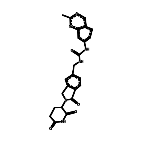 Cc1ncc2ccc(NC(=O)NCc3ccc4c(c3)CN(C3CCC(=O)NC3=O)C4=O)cc2n1